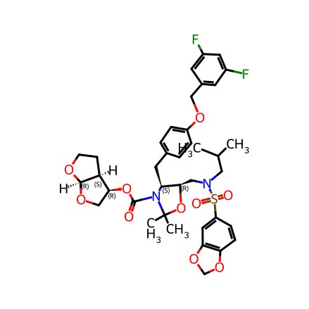 CC(C)CN(C[C@H]1OC(C)(C)N(C(=O)O[C@H]2CO[C@H]3OCC[C@H]32)[C@H]1Cc1ccc(OCc2cc(F)cc(F)c2)cc1)S(=O)(=O)c1ccc2c(c1)OCO2